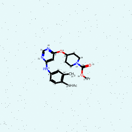 CC(=O)Nc1ccc(Nc2cc(OC3CCN(C(=O)OC(C)C)CC3)ncn2)cc1C